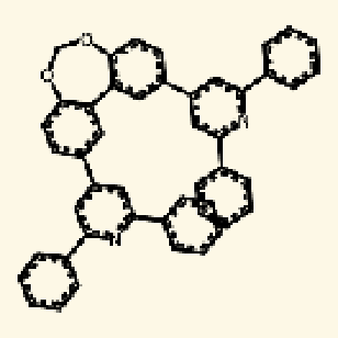 c1ccc(-c2cc(-c3ccc4c(c3)-c3cc(-c5cc(-c6ccccc6)nc(-c6ccccc6)c5)ccc3OCO4)cc(-c3ccccc3)n2)cc1